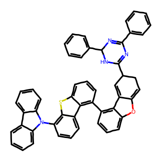 C1=c2oc3cccc(-c4cccc5sc6c(-n7c8ccccc8c8ccccc87)cccc6c45)c3c2=CC(C2=NC(c3ccccc3)=NC(c3ccccc3)N2)C1